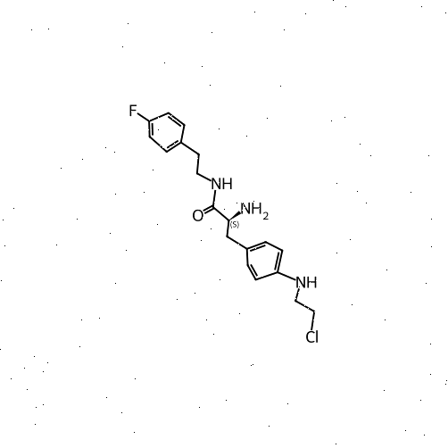 N[C@@H](Cc1ccc(NCCCl)cc1)C(=O)NCCc1ccc(F)cc1